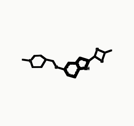 CC1OC(c2cc3cc(OCC4CCN(C)CC4)ccc3[nH]2)O1